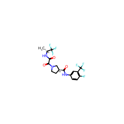 C[C@@H](NC(=O)C(=O)N1CC[C@H](C(=O)Nc2ccc(F)c(C(F)(F)F)c2)C1)C(F)(F)F